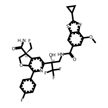 COc1cc(C(=O)NC[C@](O)(c2cc3c(c(-c4ccc(F)cc4)n2)OC[C@]3(CF)C(N)=O)C(F)(F)F)cc2sc(C3CC3)nc12